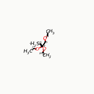 CCOCC([SiH2])(OCC)OCC